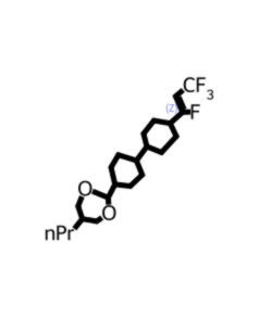 CCCC1COC(C2CCC(C3CCC(/C(F)=C/C(F)(F)F)CC3)CC2)OC1